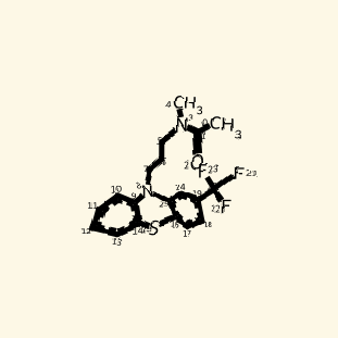 CC(=O)N(C)CCCN1c2ccccc2Sc2ccc(C(F)(F)F)cc21